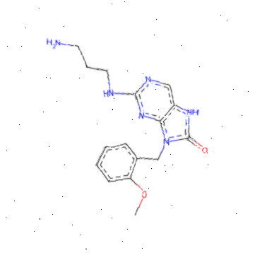 COc1ccccc1Cn1c(=O)[nH]c2cnc(NCCCN)nc21